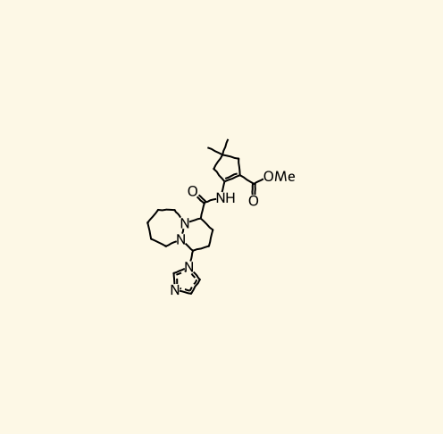 COC(=O)C1=C(NC(=O)C2CCC(n3ccnc3)N3CCCCCN23)CC(C)(C)C1